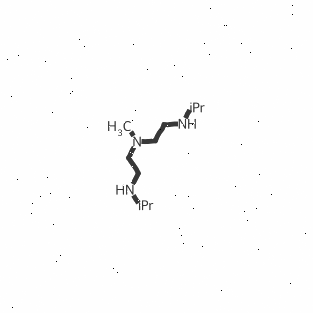 CC(C)NCCN(C)CCNC(C)C